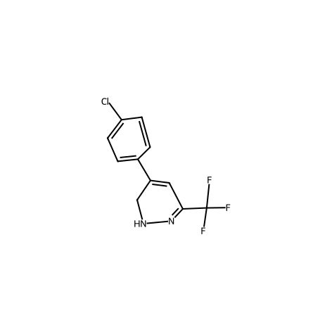 FC(F)(F)C1=NNCC(c2ccc(Cl)cc2)=C1